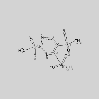 CS(=O)(=O)c1n[c]c(S(C)(=O)=O)c(S(C)(=O)=O)n1